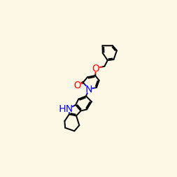 O=c1cc(OCc2ccccc2)ccn1-c1ccc2c3c([nH]c2c1)CCCC3